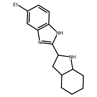 CCc1ccc2[nH]c(C3CC4CCCCC4N3)nc2c1